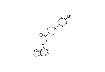 O=C(COc1cccc2ccoc12)N1CCN(c2ccc(Br)cc2)CC1